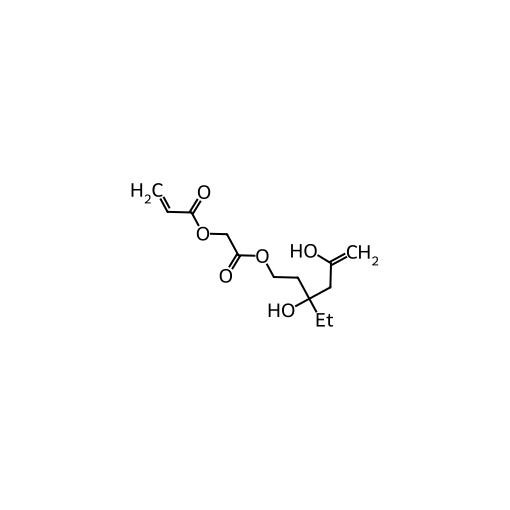 C=CC(=O)OCC(=O)OCCC(O)(CC)CC(=C)O